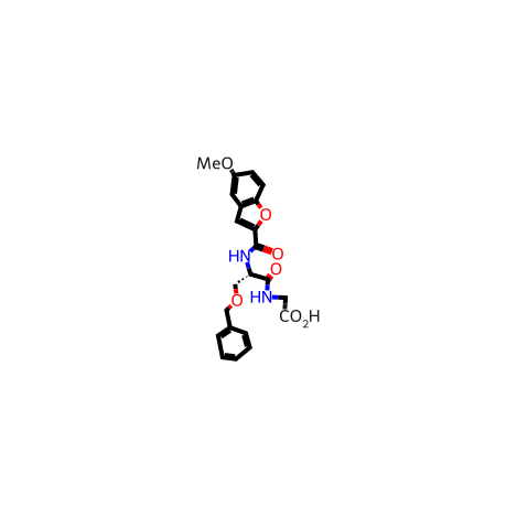 COc1ccc2oc(C(=O)N[C@@H](COCc3ccccc3)C(=O)NCC(=O)O)cc2c1